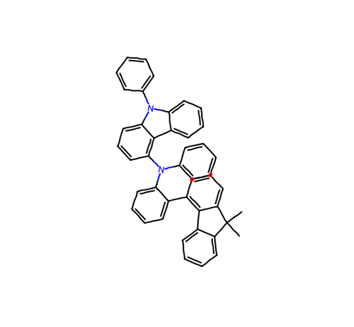 CC1(C)c2ccccc2-c2c(-c3ccccc3N(c3ccccc3)c3cccc4c3c3ccccc3n4-c3ccccc3)cccc21